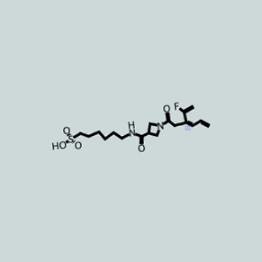 C=C/C=C(/CC(=O)N1CC(C(=O)NCCCCCCS(=O)(=O)O)C1)C(=C)F